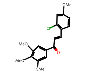 COc1ccc(/C=C/C(=O)c2cc(OC)c(OC)c(SC)c2)c(Cl)c1